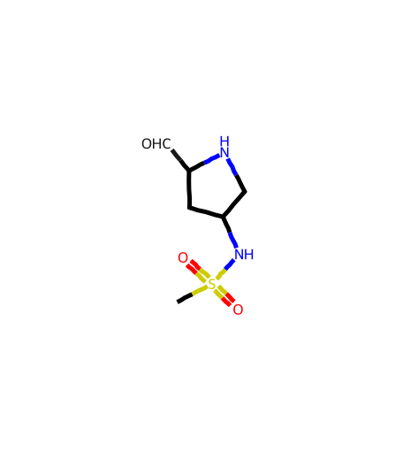 CS(=O)(=O)NC1CNC(C=O)C1